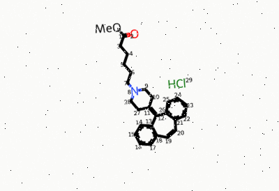 COC(=O)CCCCCN1CCC(=C2c3ccccc3C=Cc3ccccc32)CC1.Cl